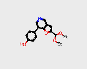 CCOC(OCC)c1cc2cncc(-c3ccc(O)cc3)c2o1